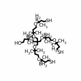 BC(C)(CCS)OCCC(C)(C)OCC(COC(B)(C)CCO)(COC(B)(C)CCOC(C)(C)CCS)COC(C)(C)CCOC(B)(C)CCS